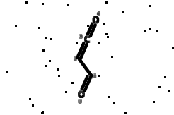 O=[C]C=C=O